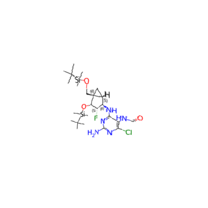 CC(C)(C)[Si](C)(C)OC[C@@]12C[C@@H]1[C@@H](Nc1nc(N)nc(Cl)c1NC=O)[C@H](F)C2O[Si](C)(C)C(C)(C)C